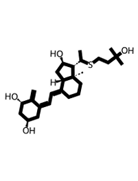 C=C1/C(=C\C=C2/CCC[C@@]3(C)[C@H]2C[C@@H](O)[C@@H]3C(C)SCCC(C)(C)O)C[C@@H](O)C[C@@H]1O